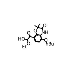 CCCCOc1ccc(C(=O)C(O)OCC)c2c1NC(=O)C(C)(C)O2